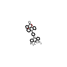 CC1(C)c2ccccc2N(c2ccc(N3c4ccccc4C4(c5ccccc5C(=O)c5ccccc54)c4ccccc43)cc2)c2ccccc21